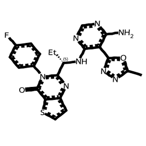 CC[C@H](Nc1ncnc(N)c1-c1nnc(C)o1)c1nc2ccsc2c(=O)n1-c1ccc(F)cc1